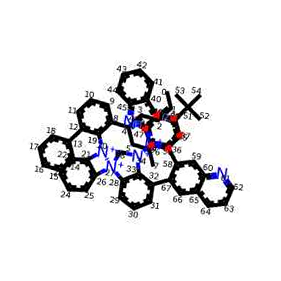 C/C=C\C=C(/CCC)c1cccc(-c2ccccc2)c1[N+]12c3ccccc3[N+]13c1cccc4c1[N+]1(c5c(ccc6c7ccccc7n(c56)-c5cc(C(C)(C)C)cc[n+]51)-c1cc5ncccc5cc1-4)C32